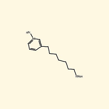 CCCCCCCCCCCCCCCCc1ccc[n+](CCC)c1